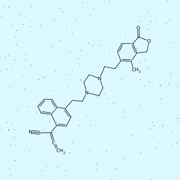 C=C=C(C#N)c1ccc(CCN2CCN(CCc3ccc4c(c3C)COC4=O)CC2)c2ccccc12